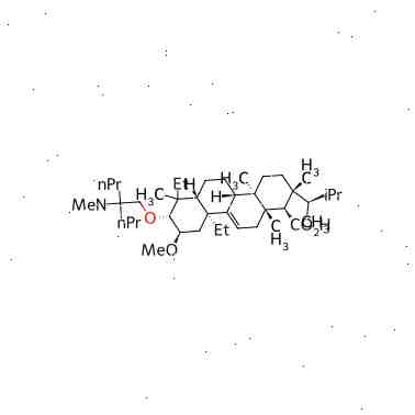 CCCC(CCC)(CO[C@H]1[C@H](OC)C[C@]2(CC)C3=CC[C@@]4(C)[C@H](C(=O)O)[C@@](C)([C@H](C)C(C)C)CC[C@]4(C)[C@H]3CC[C@H]2C1(C)CC)NC